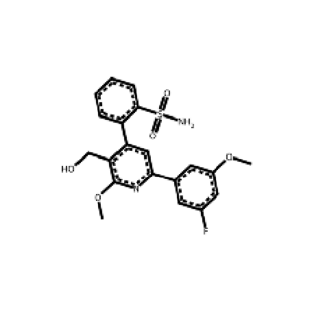 COc1cc(F)cc(-c2cc(-c3ccccc3S(N)(=O)=O)c(CO)c(OC)n2)c1